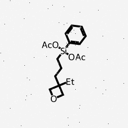 CCC1(CCC[Si](OC(C)=O)(OC(C)=O)c2ccccc2)COC1